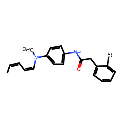 C/C=C\C=C/N(C=O)c1ccc(NC(=O)Cc2ccccc2CC)cc1